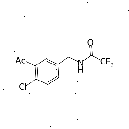 CC(=O)c1cc(CNC(=O)C(F)(F)F)ccc1Cl